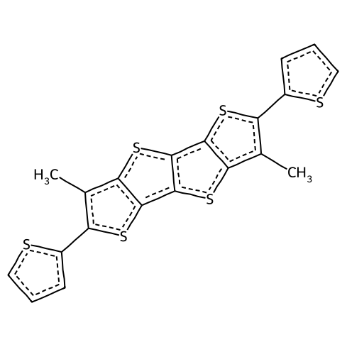 Cc1c(-c2cccs2)sc2c1sc1c3sc(-c4cccs4)c(C)c3sc21